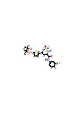 CN1C(C(=O)Nc2ccc(F)c(Cl)c2)=CC(c2ccc(B3OC(C)(C)C(C)(C)O3)s2)=NS1(=O)=O